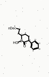 CCCCCCCCCCCCC1CCC(c2ccccc2)C(=O)N1O